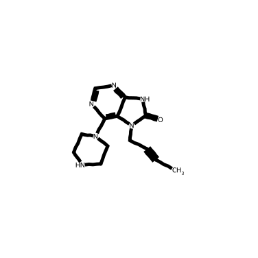 CC#CCn1c(=O)[nH]c2ncnc(N3CCNCC3)c21